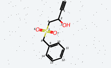 C#CC(O)CS(=O)(=O)Cc1ccccc1